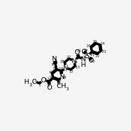 CCOC(=O)c1cc(C#N)c(N2CCN(C(=O)NS(=O)(=O)c3ccccc3)CC2)nc1C